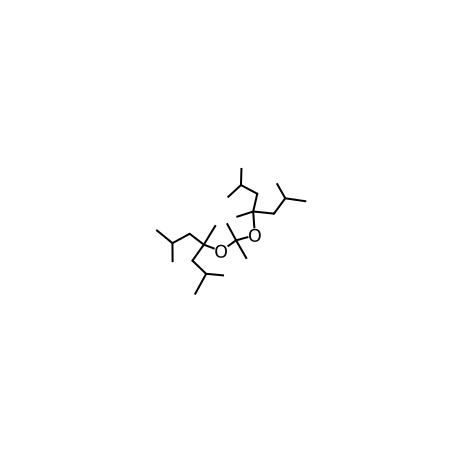 CC(C)CC(C)(CC(C)C)OC(C)(C)OC(C)(CC(C)C)CC(C)C